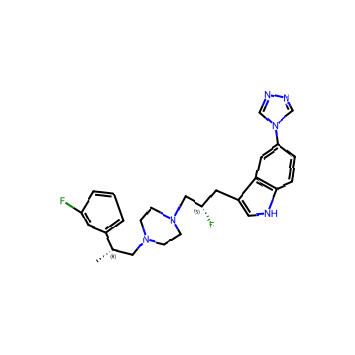 C[C@@H](CN1CCN(C[C@@H](F)Cc2c[nH]c3ccc(-n4cnnc4)cc23)CC1)c1cccc(F)c1